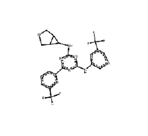 FC(F)(F)c1cncc(Nc2nc(NC3C4COCC43)nc(-c3cccc(C(F)(F)F)n3)n2)c1